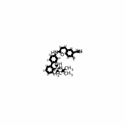 CC(C)(C)NS(=O)(=O)c1ccccc1-c1ccc(NC(=O)/C=C\c2ccc(F)c(C#N)c2)cc1